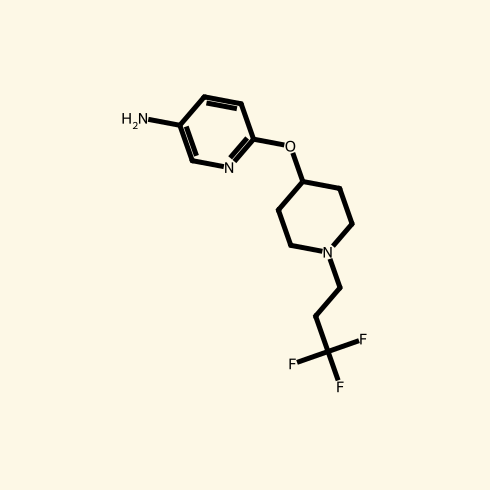 Nc1ccc(OC2CCN(CCC(F)(F)F)CC2)nc1